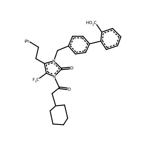 CC(C)CCc1c(C(F)(F)F)n(C(=O)CC2CCCCC2)c(=O)n1Cc1ccc(-c2ccccc2C(=O)O)cc1